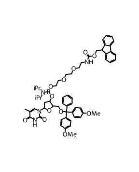 COc1ccc(C(OCC2OC(n3cc(C)c(=O)[nH]c3=O)CC2OP(OCCOCCOCCNC(=O)OCC2c3ccccc3-c3ccccc32)N(C(C)C)C(C)C)(c2ccccc2)c2ccc(OC)cc2)cc1